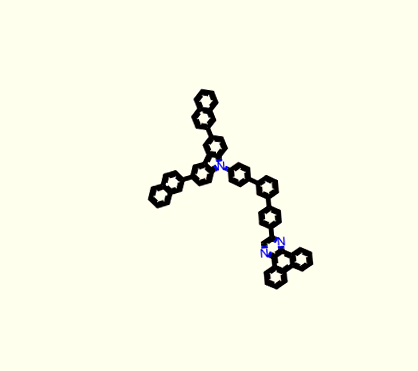 c1cc(-c2ccc(-c3cnc4c5ccccc5c5ccccc5c4n3)cc2)cc(-c2ccc(-n3c4ccc(-c5ccc6ccccc6c5)cc4c4cc(-c5ccc6ccccc6c5)ccc43)cc2)c1